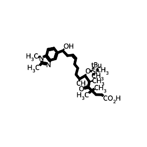 Cc1nc2cc([C@@H](O)C/C=C\CCC[C@H](C)[C@H](O[Si](C)(C)C(C)(C)C)[C@@H](C)C(=O)C(C)(C)CCC(=O)O)ccc2n1C